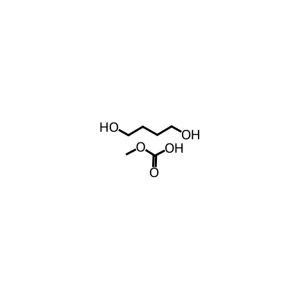 COC(=O)O.OCCCCO